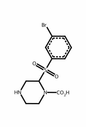 O=C(O)N1CCNCC1S(=O)(=O)c1cccc(Br)c1